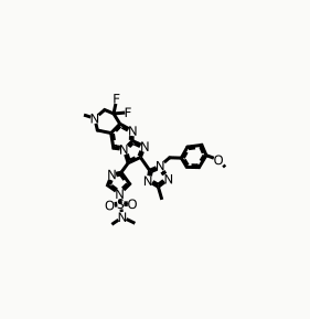 COc1ccc(Cn2nc(C)nc2-c2nc3nc4c(cn3c2-c2cn(S(=O)(=O)N(C)C)cn2)CN(C)CC4(F)F)cc1